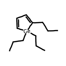 CCC[C]1=CC=[CH][Ge]1([CH2]CC)[CH2]CC